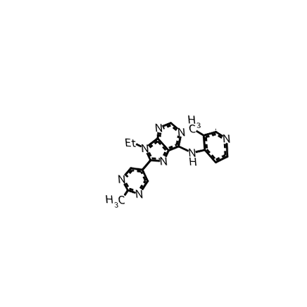 CCn1c(-c2cnc(C)nc2)nc2c(Nc3ccn[c]c3C)ncnc21